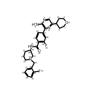 Nc1ncc(C2CCOCC2)nc1-c1ccc(C(=O)N[C@@H]2CCCN(Cc3ccccc3F)C2)c(F)c1